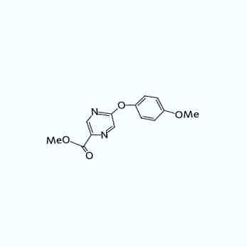 COC(=O)c1cnc(Oc2ccc(OC)cc2)cn1